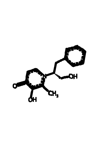 Cc1c(O)c(=O)ccn1[C@@H](CO)Cc1ccccc1